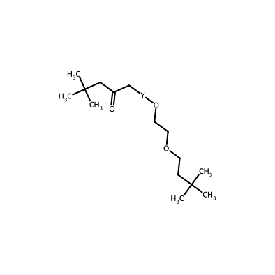 CC(C)(C)CCOCC[O][Y][CH2]C(=O)CC(C)(C)C